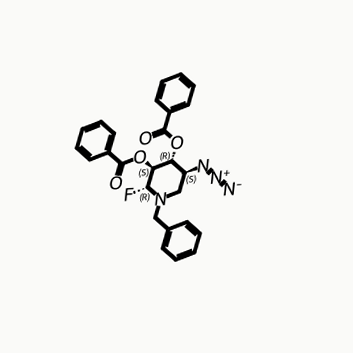 [N-]=[N+]=N[C@H]1CN(Cc2ccccc2)[C@H](F)[C@@H](OC(=O)c2ccccc2)[C@@H]1OC(=O)c1ccccc1